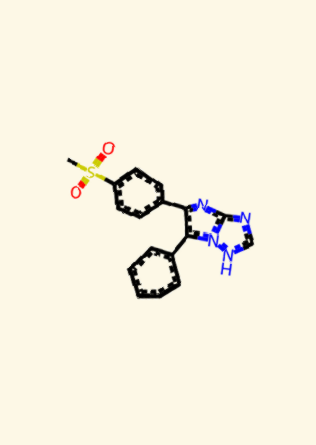 CS(=O)(=O)c1ccc(-c2nc3nc[nH]n3c2-c2ccccc2)cc1